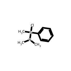 CN(C)[Si](C)(Cl)c1ccccc1